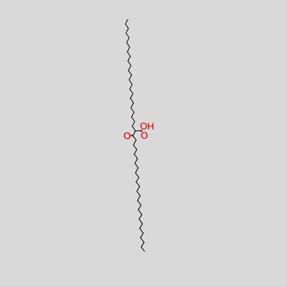 CCCCCCCCCCCCCCCCCCCCCCCCCC(=O)C(CCCCCCCCCCCCCCCCCCCCCCCC)C(=O)O